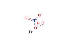 O.O=[N+]([O-])[O-].[Pr]